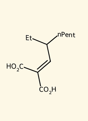 CCCCCC(C=C(C(=O)O)C(=O)O)CC